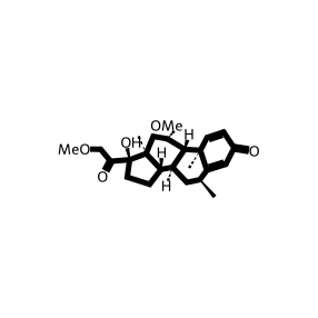 COCC(=O)[C@@]1(O)CC[C@H]2[C@@H]3C[C@H](C)C4=CC(=O)C=C[C@]4(C)[C@H]3[C@@H](OC)C[C@@]21C